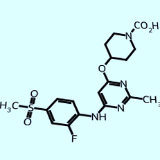 Cc1nc(Nc2ccc(S(C)(=O)=O)cc2F)cc(OC2CCN(C(=O)O)CC2)n1